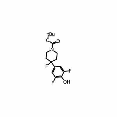 CC(C)(C)OC(=O)N1CCC(F)(c2cc(F)c(O)c(F)c2)CC1